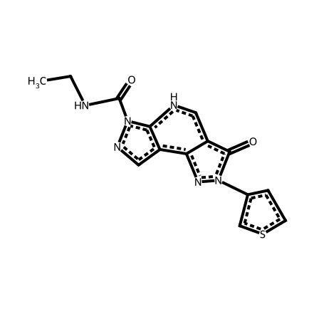 CCNC(=O)n1ncc2c3nn(-c4ccsc4)c(=O)c-3c[nH]c21